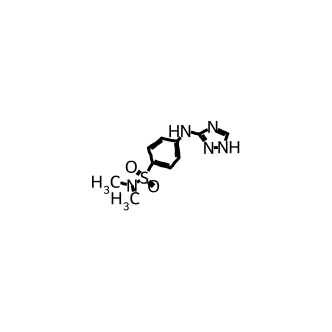 CN(C)S(=O)(=O)c1ccc(Nc2nc[nH]n2)cc1